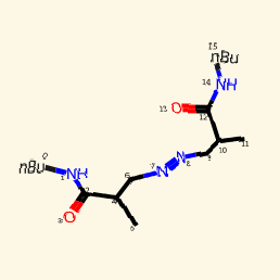 CCCCNC(=O)C(C)CN=NCC(C)C(=O)NCCCC